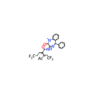 CC(=O)[C@@H](CC(F)(F)F)[C@@H](CCC(F)(F)F)C(=O)N[C@H]1N=C(c2ccccc2)c2ccccc2N(C)C1=O